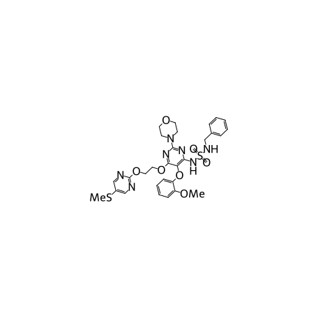 COc1ccccc1Oc1c(NS(=O)(=O)NCc2ccccc2)nc(N2CCOCC2)nc1OCCOc1ncc(SC)cn1